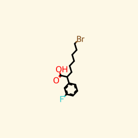 O=C(O)C(CCCCCCBr)c1cccc(F)c1